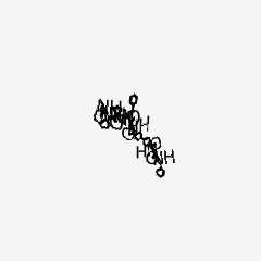 CN[C@@H](C)C(=O)N[C@H](C(=O)N1CC[C@H](C)[C@H]1CN(CCc1ccccc1)C(=O)CNC(=O)c1ccc(-c2ccc(C(=O)NCC(=O)NCCc3ccccc3)cc2)cc1)C1CCCCC1